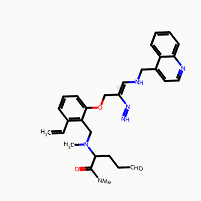 C=Cc1cccc(OC/C(=C/NCc2ccnc3ccccc23)N=N)c1CN(C)C(CCC=O)C(=O)NC